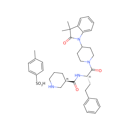 CC1(C)C(=O)N(C2CCN(C(=O)[C@H](CCc3ccccc3)NC(=O)[C@@H]3CCCNC3)CC2)c2ccccc21.Cc1ccc(S(=O)(=O)O)cc1